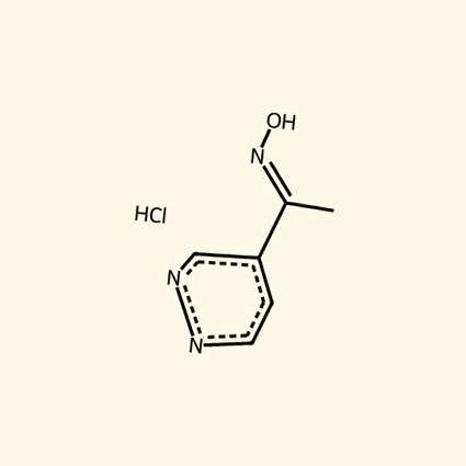 CC(=NO)c1ccnnc1.Cl